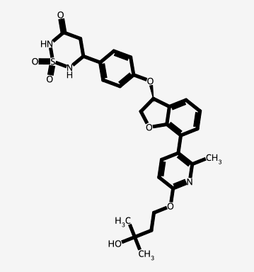 Cc1nc(OCCC(C)(C)O)ccc1-c1cccc2c1OC[C@H]2Oc1ccc(C2CC(=O)NS(=O)(=O)N2)cc1